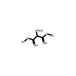 CCCCCC(C(=N)SCC)C(=N)SCC